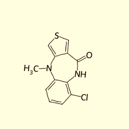 CN1c2cscc2C(=O)Nc2c(Cl)cccc21